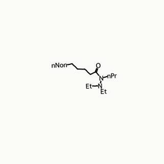 CCCCCCCCCCCCCC(=O)N(CCC)N(CC)CC